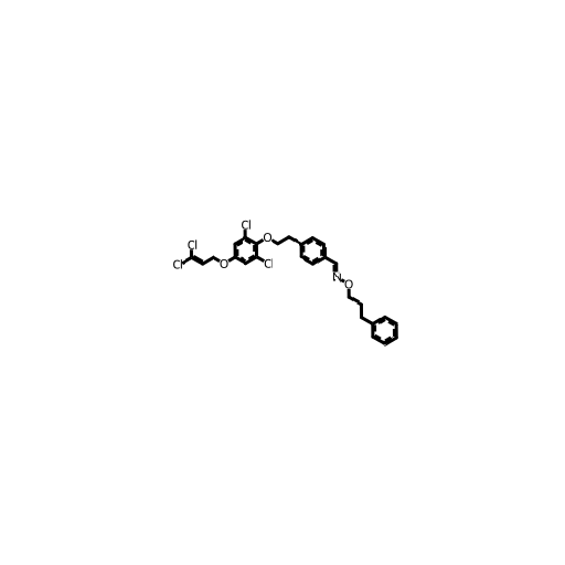 ClC(Cl)=CCOc1cc(Cl)c(OCCc2ccc(C=NOCCCc3ccccc3)cc2)c(Cl)c1